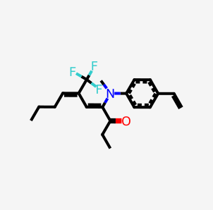 C=Cc1ccc(N(C)/C(=C\C(=C/CCC)C(F)(F)F)C(=O)CC)cc1